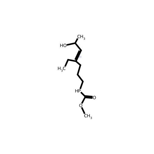 CC/C(=C\C(C)O)CCCPC(=O)OC